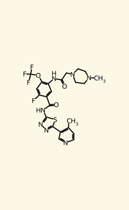 Cc1ccncc1-c1nnc(NC(=O)c2cc(NC(=O)CN3CCN(C)CC3)c(OC(F)(F)F)cc2F)s1